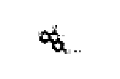 CC(=O)Nc1ccc2c(c1)[nH]c(=O)c1cnccc12